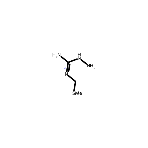 CSC/N=C(/N)NN